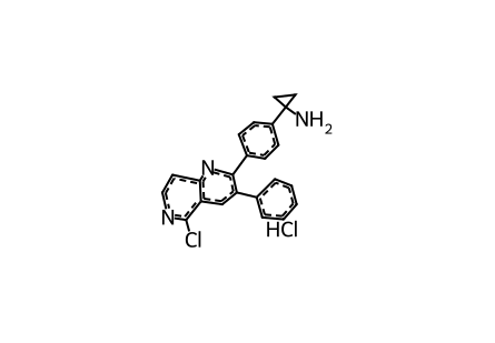 Cl.NC1(c2ccc(-c3nc4ccnc(Cl)c4cc3-c3ccccc3)cc2)CC1